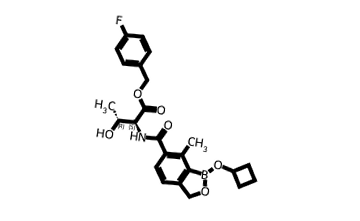 Cc1c(C(=O)N[C@H](C(=O)OCc2ccc(F)cc2)[C@@H](C)O)ccc2c1B(OC1CCC1)OC2